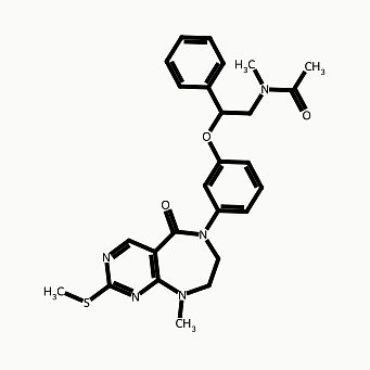 CSc1ncc2c(n1)N(C)CCN(c1cccc(OC(CN(C)C(C)=O)c3ccccc3)c1)C2=O